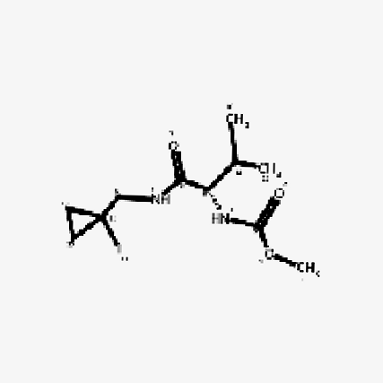 COC(=O)N[C@H](C(=O)NCC1(I)CC1)C(C)C